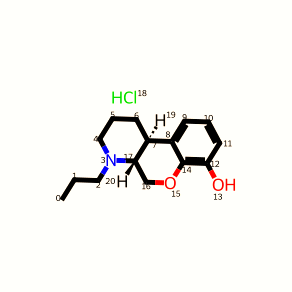 CCCN1CCC[C@H]2c3cccc(O)c3OC[C@@H]21.Cl